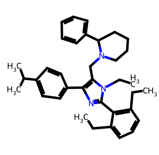 CCc1cccc(CC)c1-c1nc(-c2ccc(C(C)C)cc2)c(CN2CCCCC2c2ccccc2)n1CC